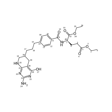 CCOC(=O)CC[C@@H](NC(=O)c1ccc(CCCC2CNc3nc(N)nc(O)c3C2)cc1)C(=O)OCC